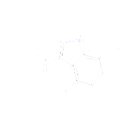 CC(C)(C)c1ccc(Cl)c2c(NS(C)(=O)=O)n[nH]c12